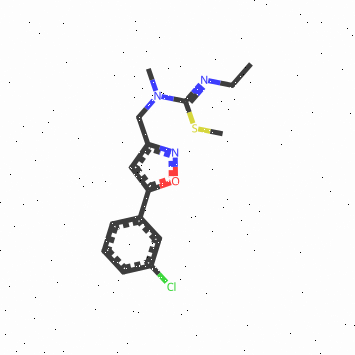 CC/N=C(\SC)N(C)Cc1cc(-c2cccc(Cl)c2)on1